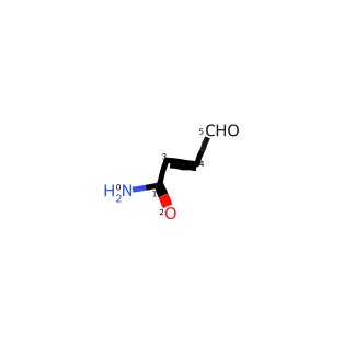 NC(=O)C=CC=O